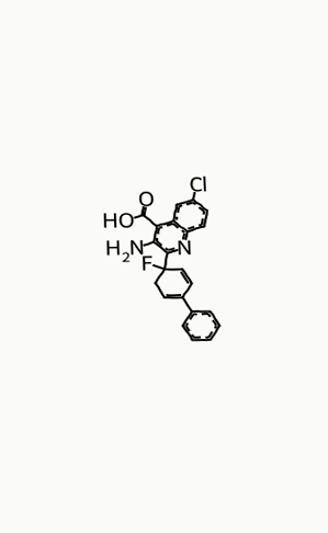 Nc1c(C2(F)C=CC(c3ccccc3)=CC2)nc2ccc(Cl)cc2c1C(=O)O